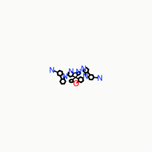 N#Cc1ccc2c(c1)c1ccccc1n2-c1cnc2c(c1)C1(c3ccccc3Oc3ccc(-n4c5ccc(C#N)cc5c5ccncc54)cc31)c1cccnc1-2